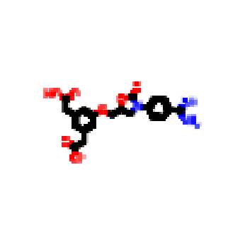 N=C(N)c1ccc(N2CC(COc3cc(CC(=O)O)cc(CC(=O)O)c3)OC2=O)cc1